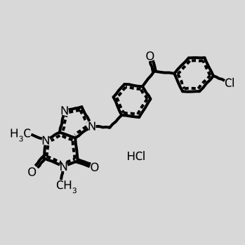 Cl.Cn1c(=O)c2c(ncn2Cc2ccc(C(=O)c3ccc(Cl)cc3)cc2)n(C)c1=O